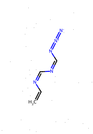 C=C/N=C\N=C/N=[N+]=[N-]